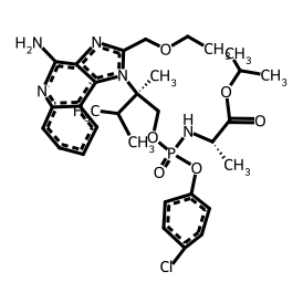 CCOCc1nc2c(N)nc3ccccc3c2n1[C@@](C)(COP(=O)(N[C@@H](C)C(=O)OC(C)C)Oc1ccc(Cl)cc1)C(C)C